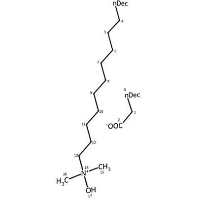 CCCCCCCCCCCC(=O)[O-].CCCCCCCCCCCCCCCCCCCC[N+](C)(C)O